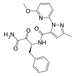 COc1cccc(-n2nc(C)cc2C(=O)N[C@@H](Cc2ccccc2)C(=O)C(N)=O)n1